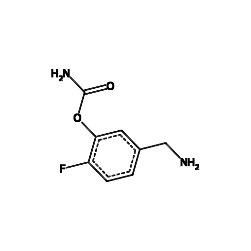 NCc1ccc(F)c(OC(N)=O)c1